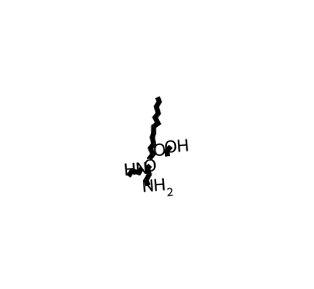 CC(=O)O.CCCCCCCCCCCCCOC(CCN)NCCC